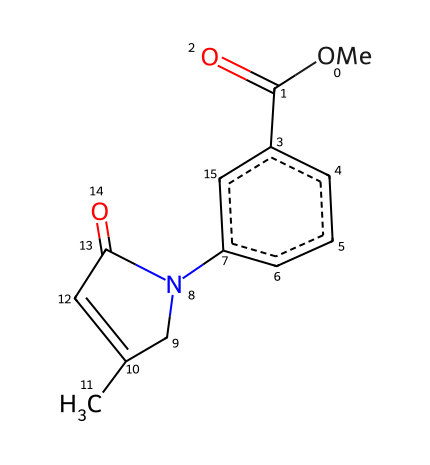 COC(=O)c1cccc(N2CC(C)=CC2=O)c1